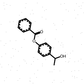 CC(O)c1ccc(OC(=O)c2ccccc2)cc1